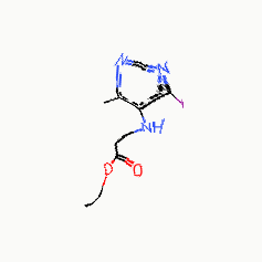 CCOC(=O)CNc1c(C)ncnc1I